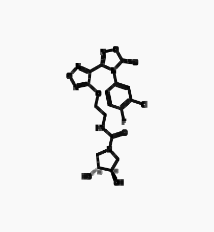 O=C(NCCOc1nonc1-c1noc(=O)n1-c1ccc(F)c(Cl)c1)N1C[C@@H](O)[C@H](O)C1